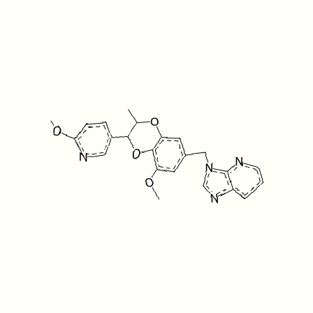 COc1ccc(C2Oc3c(OC)cc(Cn4cnc5cccnc54)cc3OC2C)cn1